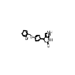 O=C1CC(c2ccc(OCc3ccccc3Br)cc2)c2c[nH]nc2N1